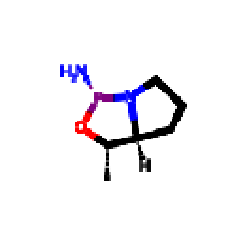 C[C@@H]1O[P@](N)N2CCC[C@@H]12